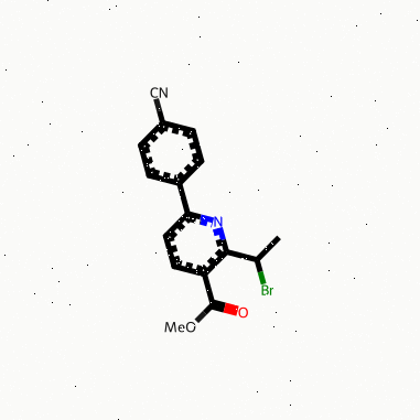 COC(=O)c1ccc(-c2ccc(C#N)cc2)nc1C(C)Br